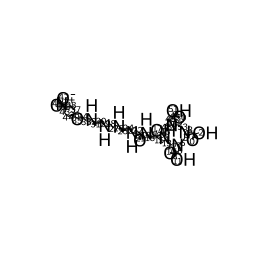 O=C(O)CN1CCN(CC(=O)O)CCN(CC(O)CNC(=O)CNCCNCCNCCNCCOc2ccc([N+](=O)[O-])cc2)CCN(CC(=O)O)CC1